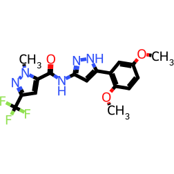 COc1ccc(OC)c(-c2cc(NC(=O)c3cc(C(F)(F)F)nn3C)n[nH]2)c1